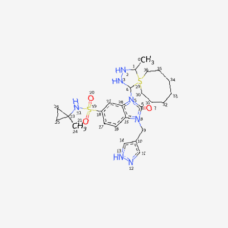 CC1NNC(n2c(=O)n(Cc3cn[nH]c3)c3ccc(S(=O)(=O)NC4(C)CC4)cc32)S12CCCCCCC2